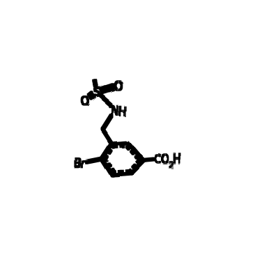 CS(=O)(=O)NCc1cc(C(=O)O)ccc1Br